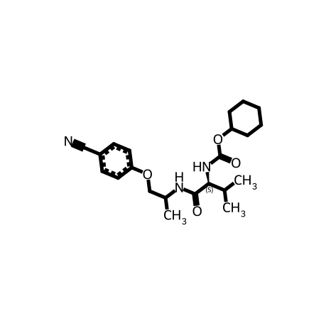 CC(COc1ccc(C#N)cc1)NC(=O)[C@@H](NC(=O)OC1CCCCC1)C(C)C